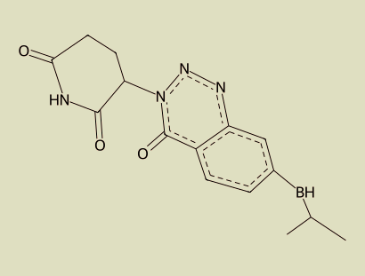 CC(C)Bc1ccc2c(=O)n(C3CCC(=O)NC3=O)nnc2c1